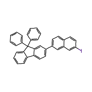 Ic1ccc2ccc(-c3ccc4c(c3)C(c3ccccc3)(c3ccccc3)c3ccccc3-4)cc2c1